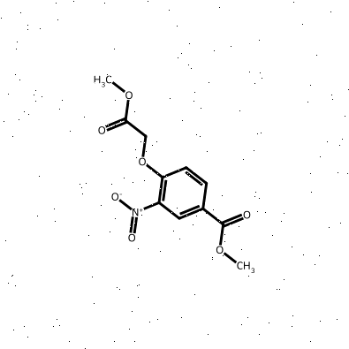 COC(=O)COc1ccc(C(=O)OC)cc1[N+](=O)[O-]